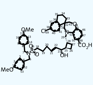 COc1ccc(CN(Cc2ccc(OC)cc2)S(=O)(=O)CCC/C=C/[C@H](O)[C@@H]2CC[C@H]2CN2CC3(CCCc4cc(Cl)ccc43)COc3ccc(C(=O)O)cc32)cc1